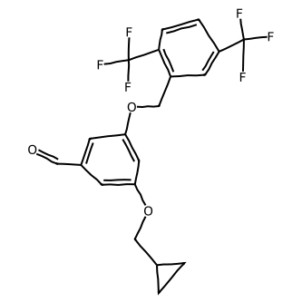 O=Cc1cc(OCc2cc(C(F)(F)F)ccc2C(F)(F)F)cc(OCC2CC2)c1